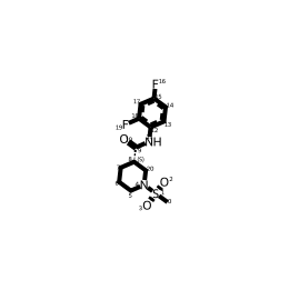 CS(=O)(=O)N1CCC[C@H](C(=O)Nc2ccc(F)cc2F)C1